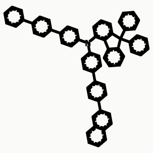 c1ccc(-c2ccc(-c3ccc(N(c4ccc(-c5ccc(-c6ccc7ccccc7c6)cc5)cc4)c4cccc5c4-c4ccccc4C5(c4ccccc4)c4ccccc4)cc3)cc2)cc1